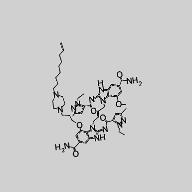 C=CCCCCCCCN1CCN(CCCOc2cc(C(N)=O)cc3[nH]/c(=N/C(=O)c4cc(C)nn4CC)n(C/C=C/Cn4/c(=N\C(=O)c5cc(C)nn5CC)[nH]c5cc(C(N)=O)cc(OC)c54)c23)CC1